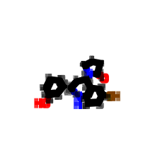 O=C1CCCN1[C@H]1C[C@@H](c2cccc(O)c2)Nc2ccc(S)cc21